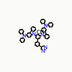 Cc1c(-n2c3ccccc3c3cc(N(c4ccccc4)c4ccccc4)ccc32)cc(-c2cccc(-c3cncnc3)c2)cc1-n1c2ccccc2c2cc(N(c3ccccc3)c3ccccc3)ccc21